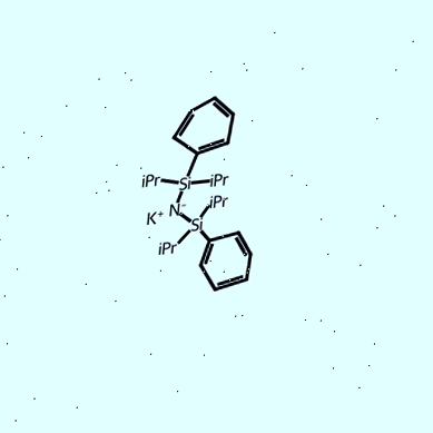 CC(C)[Si]([N-][Si](c1ccccc1)(C(C)C)C(C)C)(c1ccccc1)C(C)C.[K+]